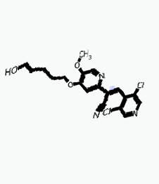 COc1cnc(/C(C#N)=C/c2c(Cl)cncc2Cl)cc1OCCCCCO